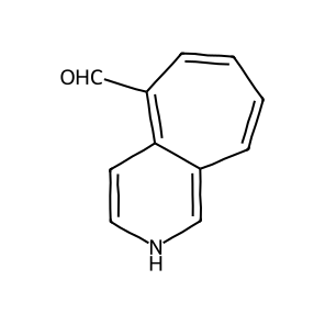 O=CC1=C2C=CNC=C2C=CC=C1